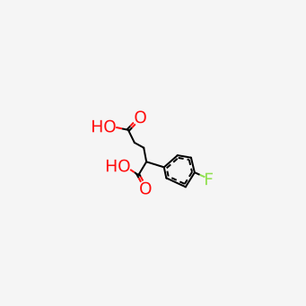 O=C(O)CCC(C(=O)O)c1ccc(F)cc1